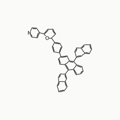 C1=CC(c2ccc(-c3ccc4c(-c5ccc6ccccc6c5)c5ccccc5c(-c5ccc6ccccc6c5)c4c3)cc2)OC(c2ccncc2)=C1